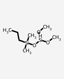 CCC[Si](C)(C)O[SiH](OC)OC